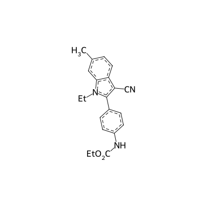 CCOC(=O)Nc1ccc(-c2c(C#N)c3ccc(C)cc3n2CC)cc1